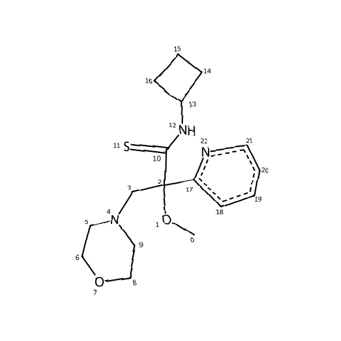 COC(CN1CCOCC1)(C(=S)NC1CCC1)c1ccccn1